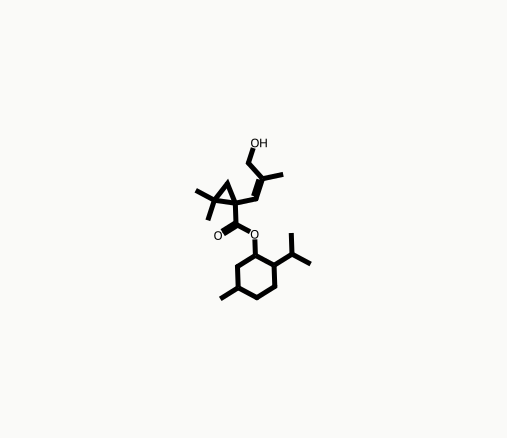 CC(=CC1(C(=O)OC2CC(C)CCC2C(C)C)CC1(C)C)CO